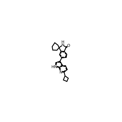 O=C1NC2(CCCCC2)c2cc(-c3c[nH]c4nc(C5CCC5)ccc34)ccc21